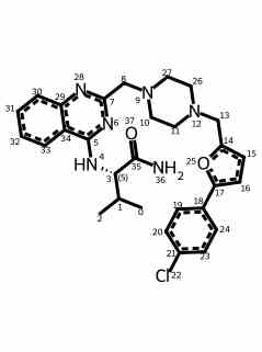 CC(C)[C@H](Nc1nc(CN2CCN(Cc3ccc(-c4ccc(Cl)cc4)o3)CC2)nc2ccccc12)C(N)=O